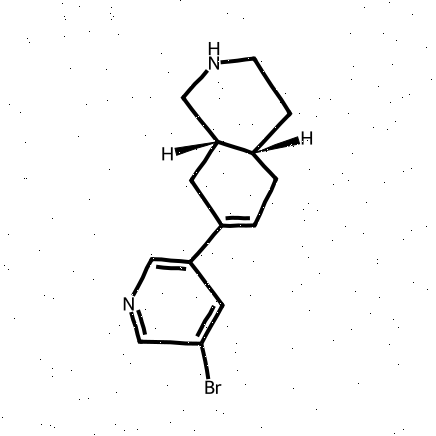 Brc1cncc(C2=CC[C@H]3CCNC[C@H]3C2)c1